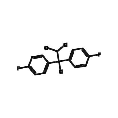 Fc1ccc(C(Cl)(c2ccc(F)cc2)C(Cl)Cl)cc1